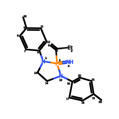 C=C(CC)P1(=N)N(c2ccc(C)cc2)CCN1c1ccc(C)cc1